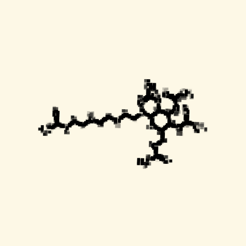 CC(=O)OCC1OC(OCCOCCOCCSC(C)=O)C(OC(C)=O)C(OC(C)=O)C1OC(C)=O